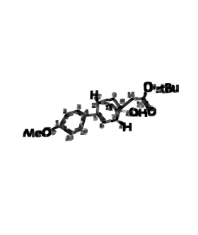 COc1ccc(C2=C[C@H]3CC[C@@H]2C[C@@]3(O)CC(=O)OC(C)(C)C)cc1